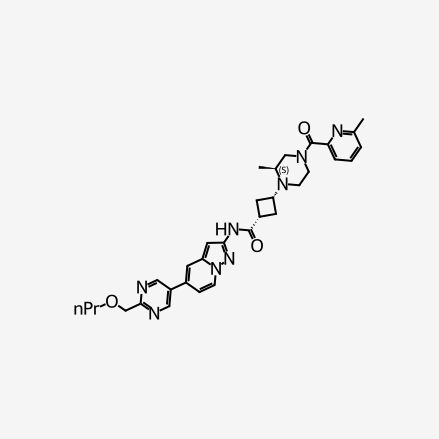 CCCOCc1ncc(-c2ccn3nc(NC(=O)[C@H]4C[C@@H](N5CCN(C(=O)c6cccc(C)n6)C[C@@H]5C)C4)cc3c2)cn1